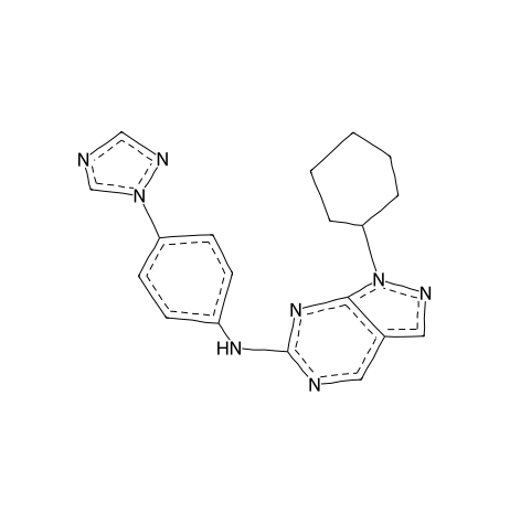 c1ncn(-c2ccc(Nc3ncc4cnn(C5CCCCC5)c4n3)cc2)n1